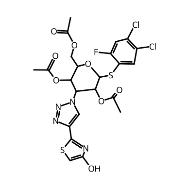 CC(=O)OCC1OC(Sc2cc(Cl)c(Cl)cc2F)C(OC(C)=O)C(n2cc(-c3nc(O)cs3)nn2)C1OC(C)=O